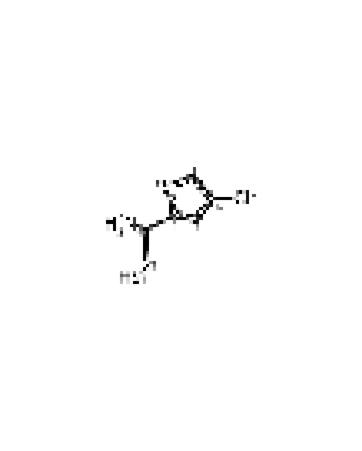 N/C(=C\S)c1cc(Cl)cs1